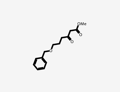 COC(=O)CC(=O)CCCOCc1ccccc1